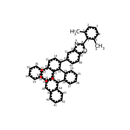 Cc1cccc(C)c1-c1nc2cc(-c3ccc4ccccc4c3-c3ccccc3-c3nc(-c4ccccc4)cc4ccccc34)ccc2o1